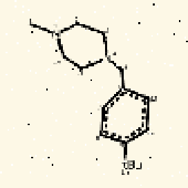 CN1CCN(Cc2c[c]c(C(C)(C)C)cc2)CC1